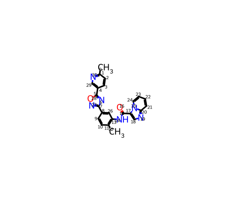 Cc1ccc(-c2nc(-c3ccc(C)c(NC(=O)c4cnc5ccccn45)c3)no2)cn1